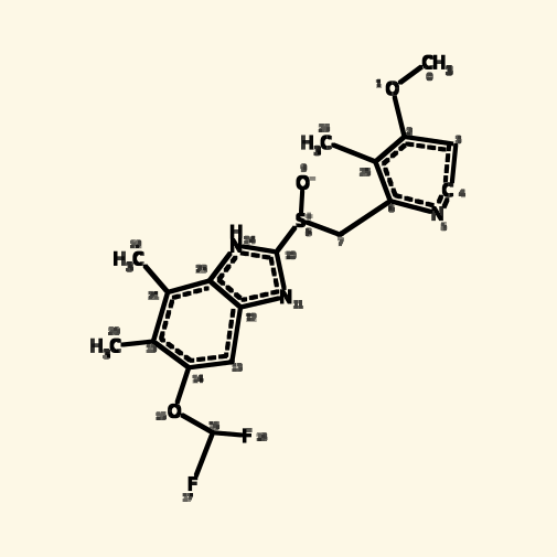 COc1ccnc(C[S+]([O-])c2nc3cc(OC(F)F)c(C)c(C)c3[nH]2)c1C